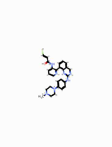 CN1CCN(c2ccc(Nc3ncc4cccc(-c5ncccc5NC(=O)C=CF)c4n3)cc2)CC1